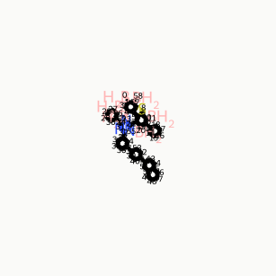 Bc1c(B)c(B)c2c(sc3c(B)c(-c4ccccc4)c(B)c(-c4nc(-c5ccccc5)nc(-c5cccc(-c6ccc(-c7ccc8ccccc8c7)cc6)c5)n4)c32)c1B